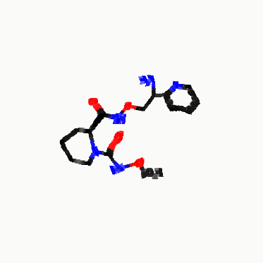 NC(CONC(=O)[C@@H]1CCCCN1C(=O)NOS(=O)(=O)O)c1ccccn1